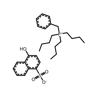 CCCC[P+](CCCC)(CCCC)Cc1ccccc1.O=S(=O)([O-])c1ccc(O)c2ccccc12